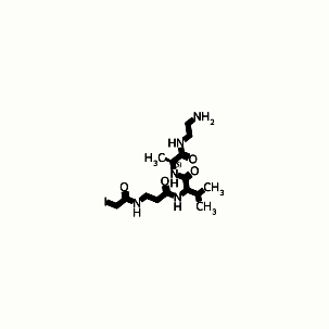 CC(C)C(NC(=O)CCNC(=O)CI)C(=O)N[C@@H](C)C(=O)NCCN